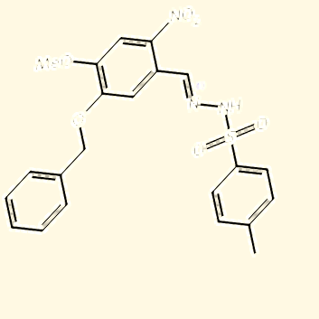 COc1cc([N+](=O)[O-])c(/C=N/NS(=O)(=O)c2ccc(C)cc2)cc1OCc1ccccc1